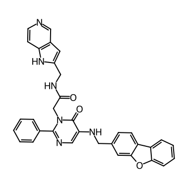 O=C(Cn1c(-c2ccccc2)ncc(NCc2ccc3c(c2)oc2ccccc23)c1=O)NCc1cc2cnccc2[nH]1